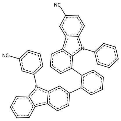 N#Cc1cccc(-n2c3ccccc3c3ccc(-c4ccccc4-c4cccc5c6cc(C#N)ccc6n(-c6ccccc6)c45)cc32)c1